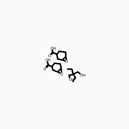 CCC(CC)(CO)CO.O=C(O)C1CCC2OC2C1.O=C(O)C1CCC2OC2C1